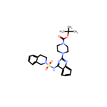 CC(C)(C)OC(=O)N1CCN(c2nc(NS(=O)(=O)N3CCc4ccccc4C3)c3ccccc3n2)CC1